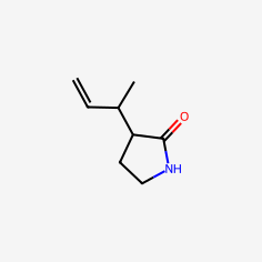 C=CC(C)C1CCNC1=O